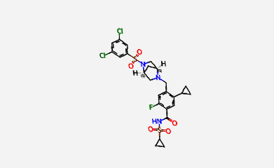 O=C(NS(=O)(=O)C1CC1)c1cc(C2CC2)c(CN2C[C@@H]3C[C@H]2CN3S(=O)(=O)c2cc(Cl)cc(Cl)c2)cc1F